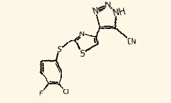 N#Cc1[nH]nnc1-c1csc(Sc2ccc(F)c(Cl)c2)n1